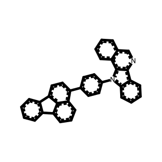 c1ccc2c(c1)-c1cccc3c(-c4ccc(-n5c6ccccc6c6ncc7ccccc7c65)cc4)ccc-2c13